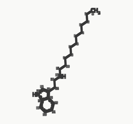 CCCCCCCCCCCCNCCc1c[nH]c2ccccc12